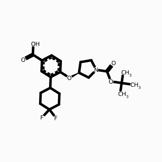 CC(C)(C)OC(=O)N1CC[C@H](Oc2ccc(C(=O)O)cc2C2CCC(F)(F)CC2)C1